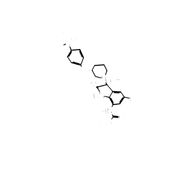 C[C@@]1(N2CCC[C@@H](Oc3ccc(S(=O)(=O)F)cc3)C2)C(=O)Nc2c(NC(=O)O)cc(F)cc21